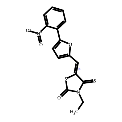 CCN1C(=O)S/C(=C\c2ccc(-c3ccccc3[N+](=O)[O-])o2)C1=S